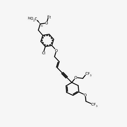 CCO[C@@H](Cc1ccc(OCC=CC#CC2(OCC(F)(F)F)C=CC=C(OCC(F)(F)F)C2)c(Cl)c1)C(=O)O